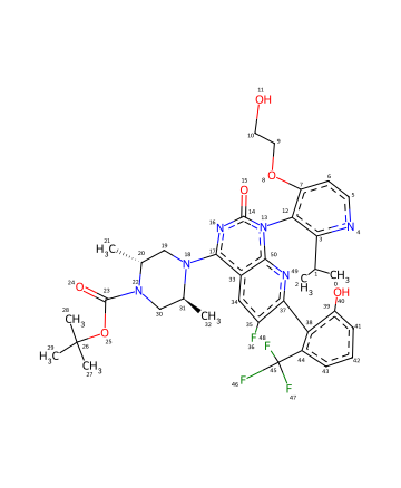 CC(C)c1nccc(OCCO)c1-n1c(=O)nc(N2C[C@@H](C)N(C(=O)OC(C)(C)C)C[C@@H]2C)c2cc(F)c(-c3c(O)cccc3C(F)(F)F)nc21